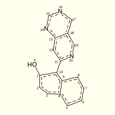 Oc1ccc2ccccc2c1-c1cc2ncncc2cn1